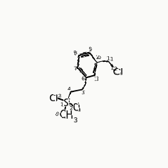 C[Si](Cl)(Cl)CCc1cccc(CCl)c1